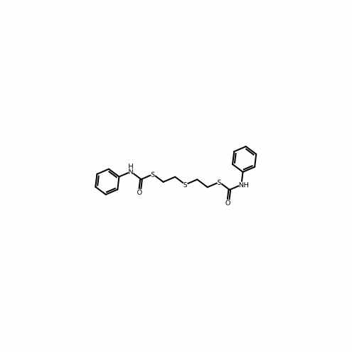 O=C(Nc1ccccc1)SCCSCCSC(=O)Nc1ccccc1